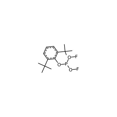 CC(C)(C)c1cccc(C(C)(C)C)c1OP(OF)OF